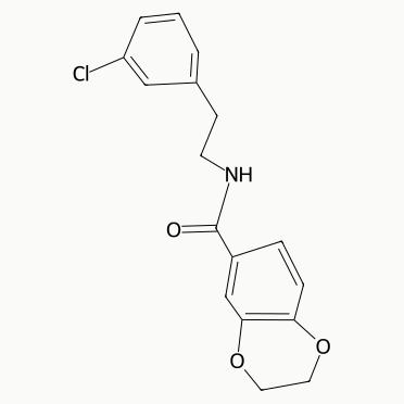 O=C(NCCc1cccc(Cl)c1)c1ccc2c(c1)OCCO2